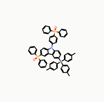 Cc1ccc([Si](c2ccc(C)cc2)(c2ccc(C)cc2)c2ccc3c(c2)c2cc(P(=O)(c4ccccc4)c4ccccc4)ccc2n3-c2ccc(P(=O)(c3ccccc3)c3ccccc3)cc2)cc1